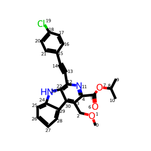 COCc1c(C(=O)OC(C)C)nc(C#Cc2ccc(Cl)cc2)c2[nH]c3ccccc3c12